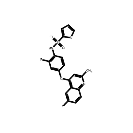 Cc1cc(Oc2ccc(NS(=O)(=O)c3cccs3)c(F)c2)c2cc(F)ccc2n1